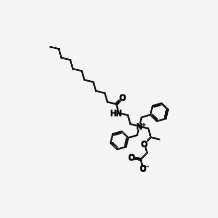 CCCCCCCCCCCC(=O)NCC[N+](Cc1ccccc1)(Cc1ccccc1)CC(C)OCC(=O)[O-]